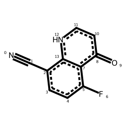 N#Cc1ccc(F)c2c(=O)cc[nH]c12